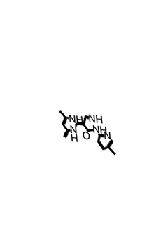 C=C1C=C(C)N/C(=C(\C=N)C(=O)Nc2ccc(C)cn2)N1